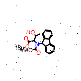 COC(=O)N(C1c2ccccc2-c2ccccc21)C(C(=O)OC(C)(C)C)C(C)O